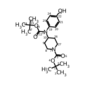 CC(C)(C)OC(=O)N1CCC(N(C(=O)OC(C)(C)C)c2ccc(O)cc2)CC1